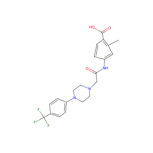 Cc1cc(NC(=O)CN2CCN(c3ccc(C(F)(F)F)cc3)CC2)ccc1C(=O)O